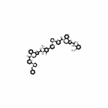 Cc1cc(-c2ccnc([C@@H]3CCCN3c3cccc(C(=O)N4CCc5cc(C(=O)Nc6c(C)cccc6F)sc5-c5ccccc54)n3)c2)cc(F)c1NC(=O)c1cc2c(s1)-c1ccccc1N(C(=O)c1cccc(N3CCC[C@H]3Cc3ccccc3)n1)CC2